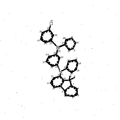 CC1(C)c2ccccc2-c2cccc(N(c3ccccc3)c3cccc(N(c4ccccc4)c4cccc(Cl)c4)c3)c21